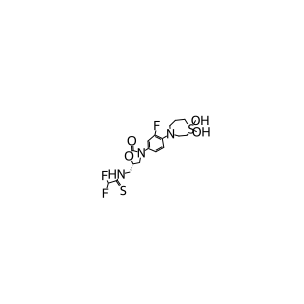 O=C1O[C@@H](CNC(=S)C(F)F)CN1c1ccc(N2CCCS(O)(O)CC2)c(F)c1